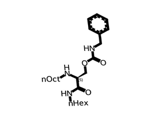 CCCCCCCCN[C@@H](COC(=O)NCc1ccccc1)C(=O)NCCCCCC